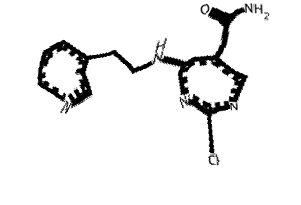 NC(=O)c1cnc(Cl)nc1NCCc1cccnc1